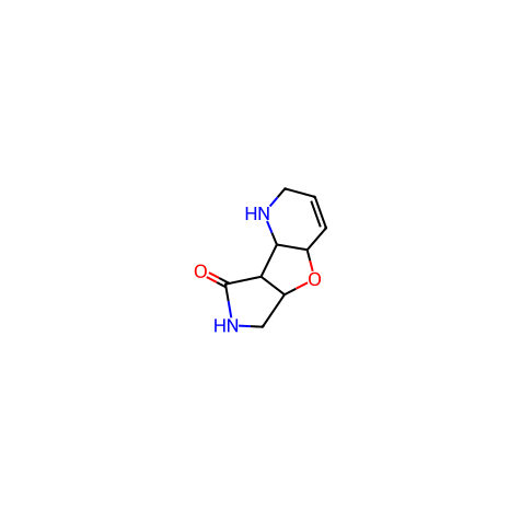 O=C1NCC2OC3C=CCNC3C12